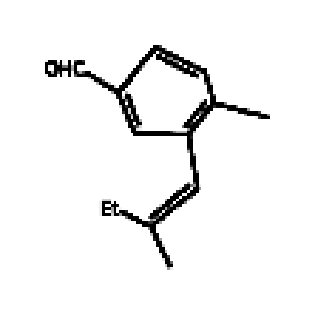 CC/C(C)=C\c1cc(C=O)ccc1C